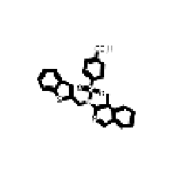 Cc1c(N(Cc2cc3ccccc3s2)S(=O)(=O)c2ccc(C(=O)O)cc2)ncc2ccccc12